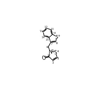 O=c1ccsn1Cc1csc2ccccc12